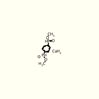 CO[PH](=O)c1ccc([PH](=O)OC)cc1.[CaH2]